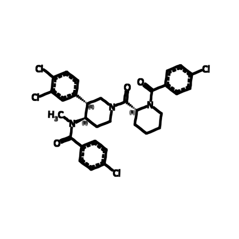 CN(C(=O)c1ccc(Cl)cc1)[C@@H]1CCN(C(=O)[C@H]2CCCCN2C(=O)c2ccc(Cl)cc2)C[C@H]1c1ccc(Cl)c(Cl)c1